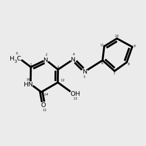 Cc1nc(N=Nc2ccccc2)c(O)c(=O)[nH]1